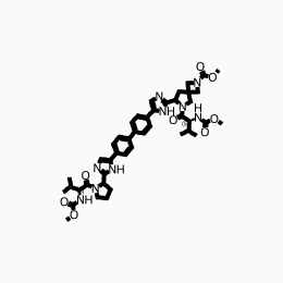 COC(=O)N[C@H](C(=O)N1CCCC1c1ncc(-c2ccc(-c3ccc(-c4cnc(C5CC6(CN(C(=O)OC)C6)CN5C(=O)[C@@H](NC(=O)OC)C(C)C)[nH]4)cc3)cc2)[nH]1)C(C)C